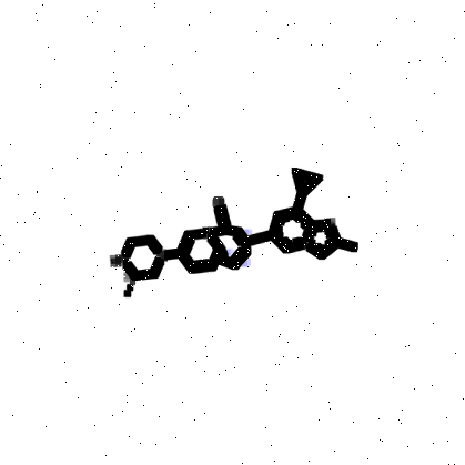 Cc1cn2cc(C3=C\C(=O)N4C=C(N5CCN[C@@H](C)C5)C=C\C4=C/C=C/3)cc(C3CC3)c2n1